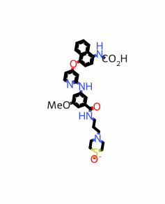 COc1cc(Nc2cc(Oc3ccc(NC(=O)O)c4ccccc34)ccn2)cc(C(=O)NCCCN2CC[S+]([O-])CC2)c1